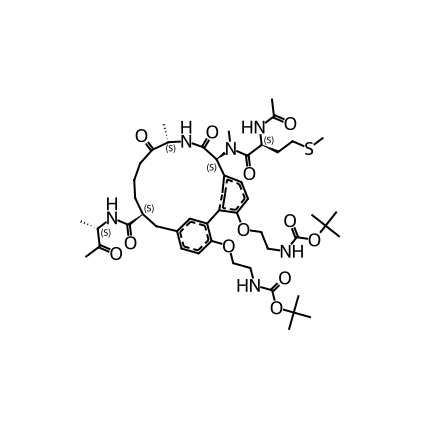 CSCC[C@H](NC(C)=O)C(=O)N(C)[C@@H]1C(=O)N[C@@H](C)C(=O)CCC[C@H](C(=O)N[C@@H](C)C(C)=O)Cc2ccc(OCCNC(=O)OC(C)(C)C)c(c2)-c2cc1ccc2OCCNC(=O)OC(C)(C)C